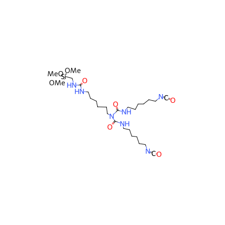 CO[Si](CNC(=O)NCCCCCCN(C(=O)NCCCCCCN=C=O)C(=O)NCCCCCCN=C=O)(OC)OC